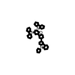 c1ccc(-n2c3ccccc3c3cc(-c4ccc5oc6c(-n7c8ccccc8c8ccccc87)cc(-n7c8ccccc8c8ccccc87)cc6c5c4)ccc32)cc1